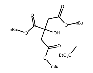 CCCCOC(=O)CC(O)(CC(=O)OCCCC)C(=O)OCCCC.CCOC(C)=O